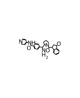 NC(c1ccc(C(=O)Nc2ccncc2)cc1)C1CCCN1C(=O)C1CC(=O)c2ccccc21